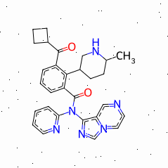 CC1CCC(c2c(C(=O)C3CCC3)cccc2C(=O)N(c2ccccn2)c2ncn3ccncc23)CN1